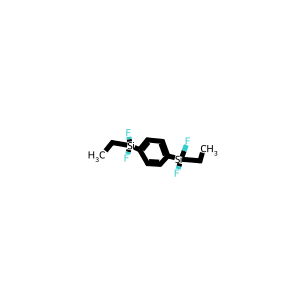 CC[Si](F)(F)c1ccc([Si](F)(F)CC)cc1